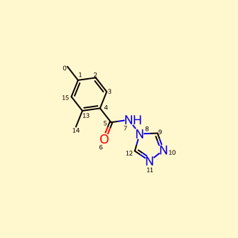 Cc1ccc(C(=O)Nn2cnnc2)c(C)c1